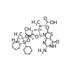 CC[C@H](O[Si](c1ccccc1)(c1ccccc1)C(C)(C)C)[C@@H]1C[C@@H]([C@H](C)CC(=O)O)[C@H](n2c(=O)sc3c(=O)[nH]c(N)nc32)O1